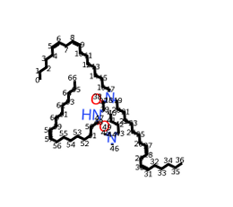 CCCCC/C=C\C/C=C\CCCCCCCCN(CCCCCCCC/C=C\C/C=C\CCCCC)C(=O)[C@H](CCCCN(C)C)NC(=O)CCCCCCC/C=C\CCCCCCCC